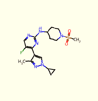 Cc1nn(C2CC2)cc1-c1nc(NC2CCN(S(C)(=O)=O)CC2)ncc1F